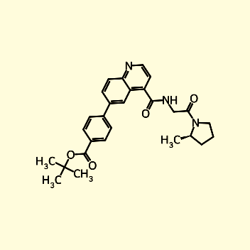 C[C@@H]1CCCN1C(=O)CNC(=O)c1ccnc2ccc(-c3ccc(C(=O)OC(C)(C)C)cc3)cc12